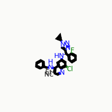 CC[C@@H](Nc1c(C#N)cnc2c(Cl)cc(N[C@H](c3cn(C4CC4)nn3)c3ccccc3F)cc12)c1ccccc1